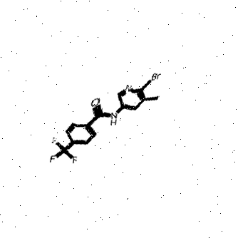 Cc1cc(NC(=O)c2ccc(C(F)(F)F)cc2)cnc1Br